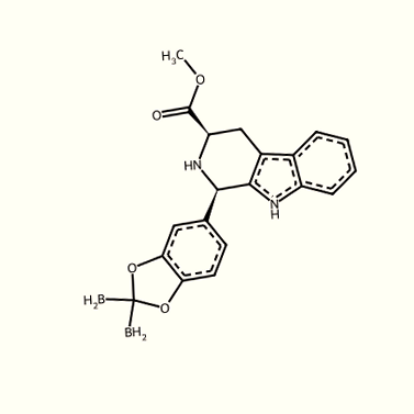 BC1(B)Oc2ccc([C@H]3N[C@@H](C(=O)OC)Cc4c3[nH]c3ccccc43)cc2O1